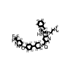 CN(C)CCOc1ncc(C(=O)N2CCC(c3ccc(Oc4ccc(C(F)(F)F)nn4)cc3)CC2)cc1NS(=O)(=O)Cc1ccccc1